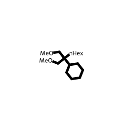 CCCCCCC(COC)(COC)C1CCCCC1